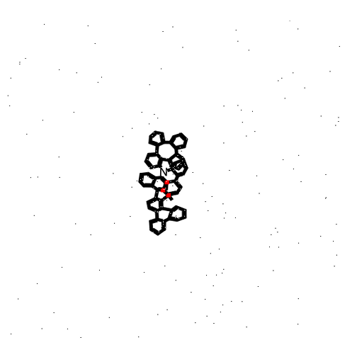 CC1(C)c2cc(N(c3ccccc3-c3ccccc3)c3cccc4c3-c3ccccc3-c3ccccc3-c3ccccc3-4)c3ccccc3c2-c2ccc3c4ccccc4c4ccccc4c3c21